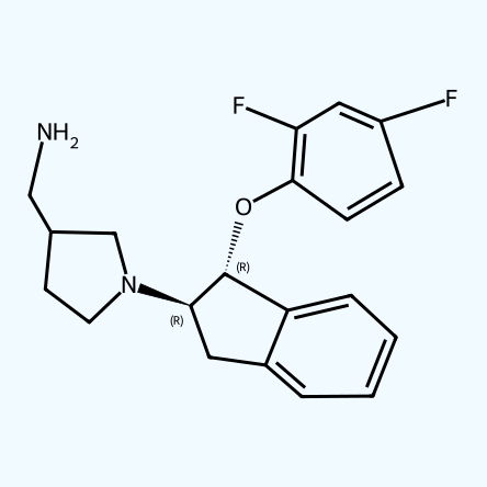 NCC1CCN([C@@H]2Cc3ccccc3[C@H]2Oc2ccc(F)cc2F)C1